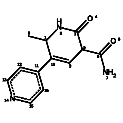 CC1NC(=O)C(C(N)=O)C=C1c1ccncc1